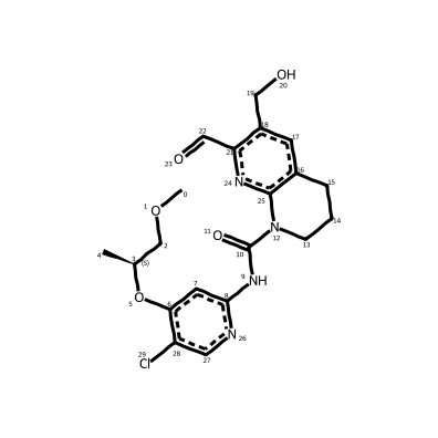 COC[C@H](C)Oc1cc(NC(=O)N2CCCc3cc(CO)c(C=O)nc32)ncc1Cl